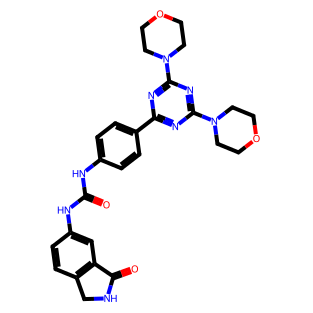 O=C(Nc1ccc(-c2nc(N3CCOCC3)nc(N3CCOCC3)n2)cc1)Nc1ccc2c(c1)C(=O)NC2